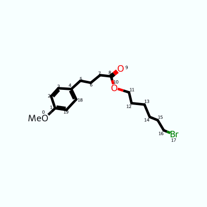 COc1ccc(CCCC(=O)OCCCCCCBr)cc1